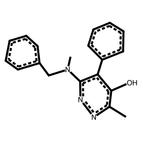 Cc1nnc(N(C)Cc2ccccc2)c(-c2ccccc2)c1O